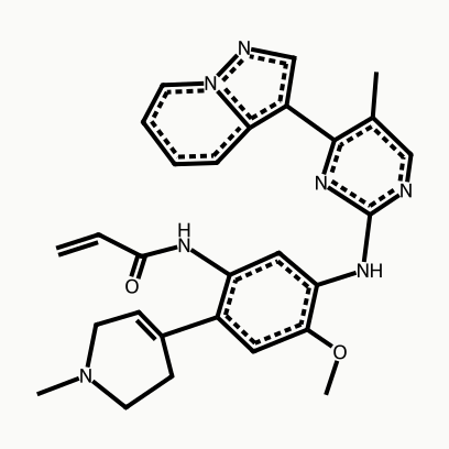 C=CC(=O)Nc1cc(Nc2ncc(C)c(-c3cnn4ccccc34)n2)c(OC)cc1C1=CCN(C)CC1